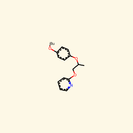 CCC(C)Oc1ccc(OC(C)COc2ccccn2)cc1